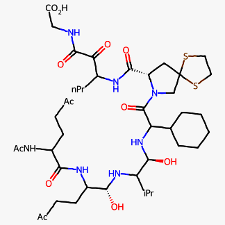 CCCC(NC(=O)[C@@H]1CC2(CN1C(=O)C(N[C@@H](O)C(N[C@H](O)C(CCC(C)=O)NC(=O)C(CCC(C)=O)NC(C)=O)C(C)C)C1CCCCC1)SCCS2)C(=O)C(=O)NCC(=O)O